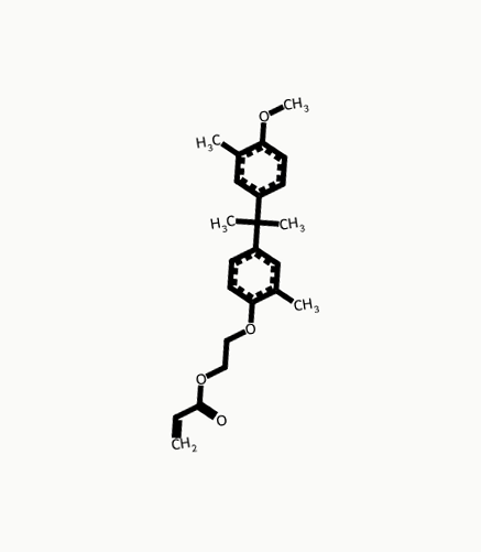 C=CC(=O)OCCOc1ccc(C(C)(C)c2ccc(OC)c(C)c2)cc1C